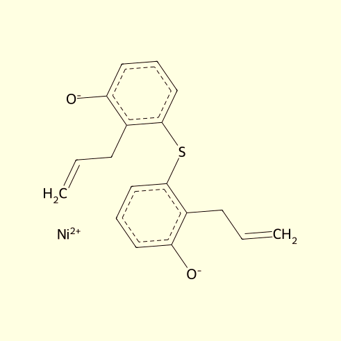 C=CCc1c([O-])cccc1Sc1cccc([O-])c1CC=C.[Ni+2]